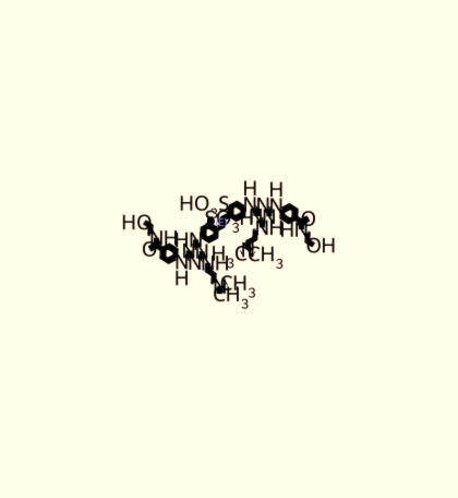 CN(C)CCCNc1nc(Nc2ccc(C(=O)NCCO)cc2)nc(Nc2ccc(/C=C/c3ccc(Nc4nc(NCCCN(C)C)nc(Nc5ccc(C(=O)NCCO)cc5)n4)cc3S(=O)(=O)O)c(S(=O)(=O)O)c2)n1